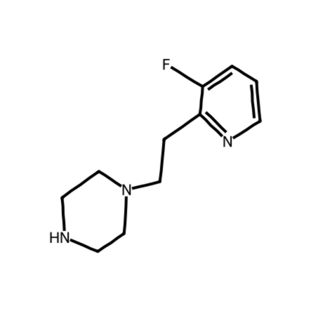 Fc1cccnc1CCN1CCNCC1